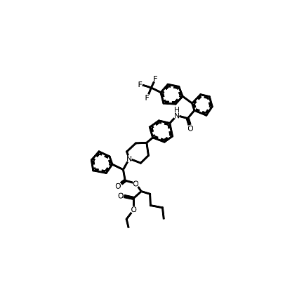 CCCCC(OC(=O)C(c1ccccc1)N1CCC(c2ccc(NC(=O)c3ccccc3-c3ccc(C(F)(F)F)cc3)cc2)CC1)C(=O)OCC